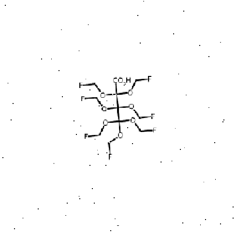 O=C(O)C(OCF)(OCF)C(OCF)(OCF)C(OCF)(OCF)OCF